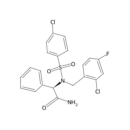 NC(=O)[C@@H](c1ccccc1)N(Cc1ccc(F)cc1Cl)S(=O)(=O)c1ccc(Cl)cc1